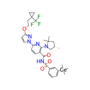 C[C@@H]1CN(c2nc(-n3ccc(OCCC4(C(F)(F)F)CC4)n3)ccc2C(=O)NS(=O)(=O)c2ccc[c]([Ge]([CH3])([CH3])[CH3])c2)C(C)(C)C1